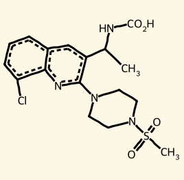 CC(NC(=O)O)c1cc2cccc(Cl)c2nc1N1CCN(S(C)(=O)=O)CC1